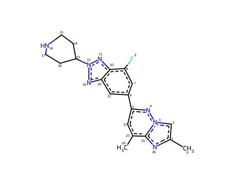 Cc1cn2nc(-c3cc(F)c4nn(C5CCNCC5)nc4c3)cc(C)c2n1